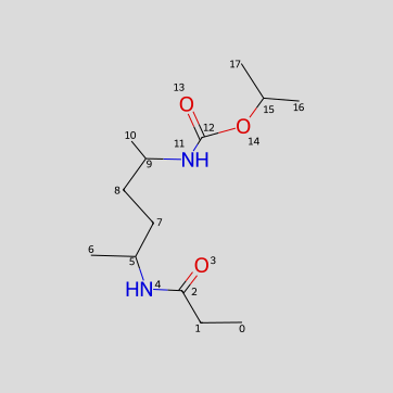 CCC(=O)NC(C)CCC(C)NC(=O)OC(C)C